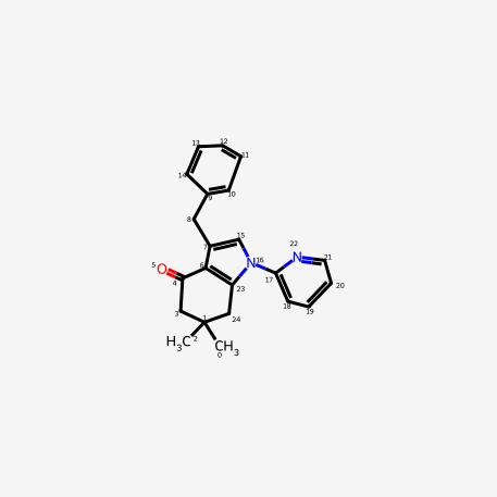 CC1(C)CC(=O)c2c(Cc3ccccc3)cn(-c3ccccn3)c2C1